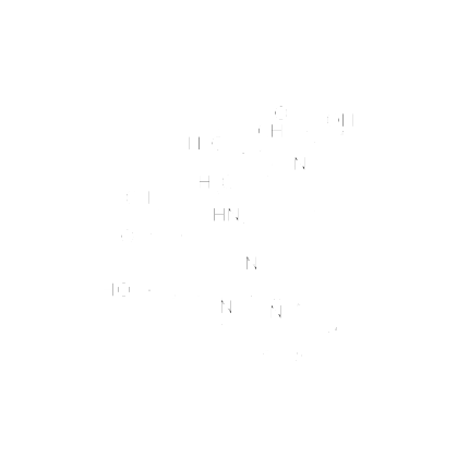 COc1cc2c(NC3CCCN(C(=O)O)C3C(C)(C)C)nc(N3CCCC3)nc2cc1O